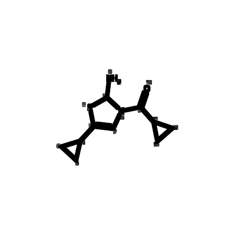 NC1SC(C2CC2)=CN1C(=O)C1CC1